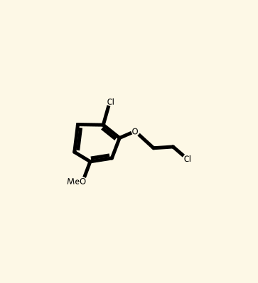 COc1ccc(Cl)c(OCCCl)c1